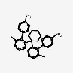 Cc1cccc(C2(c3cccc(C)c3-c3ccc(N)cc3)CCCCC2)c1-c1ccc(N)cc1